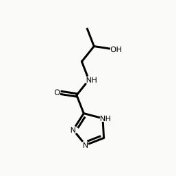 CC(O)CNC(=O)c1nnc[nH]1